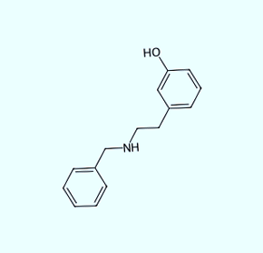 Oc1cccc(CCNCc2ccccc2)c1